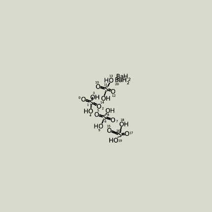 O=S(=O)(O)O.O=S(=O)(O)O.O=S(=O)(O)O.O=S(=O)(O)O.[BaH2].[BaH2]